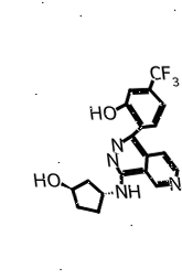 Oc1cc(C(F)(F)F)ccc1-c1nnc(N[C@@H]2CC[C@@H](O)C2)c2cnccc12